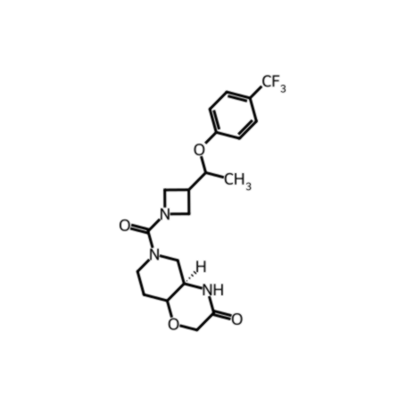 CC(Oc1ccc(C(F)(F)F)cc1)C1CN(C(=O)N2CCC3OCC(=O)N[C@@H]3C2)C1